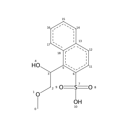 COCC(O)c1c(S(=O)(=O)O)ccc2ccccc12